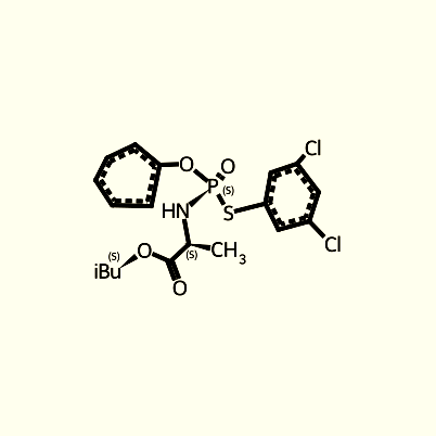 CC[C@H](C)OC(=O)[C@H](C)N[P@](=O)(Oc1ccccc1)Sc1cc(Cl)cc(Cl)c1